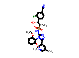 COc1cccc(OC)c1-n1c(NS(=O)(=O)[C@@H](C)[C@H](O)c2ccc(C#N)cc2F)nnc1-c1cncc(C)c1